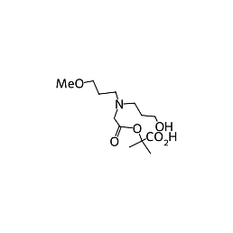 COCCCN(CCCO)CC(=O)OC(C)(C)C(=O)O